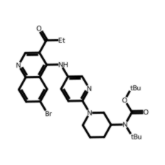 CCC(=O)c1cnc2ccc(Br)cc2c1Nc1ccc(N2CCCC(N(C(=O)OC(C)(C)C)C(C)(C)C)C2)nc1